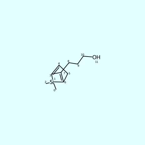 C[Si]1(C)C2=[C]CC1=C2CCCO